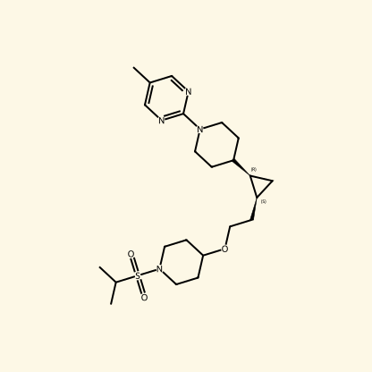 Cc1cnc(N2CCC([C@H]3C[C@H]3CCOC3CCN(S(=O)(=O)C(C)C)CC3)CC2)nc1